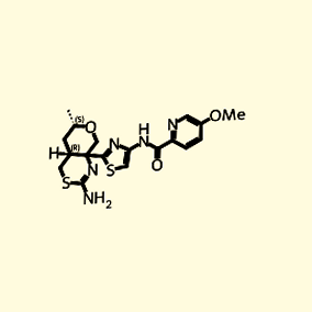 COc1ccc(C(=O)Nc2csc(C34CO[C@@H](C)C[C@H]3CSC(N)=N4)n2)nc1